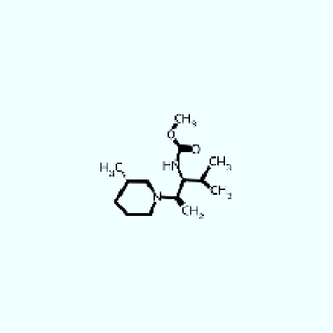 C=C([C@@H](NC(=O)OC)C(C)C)N1CCC[C@H](C)C1